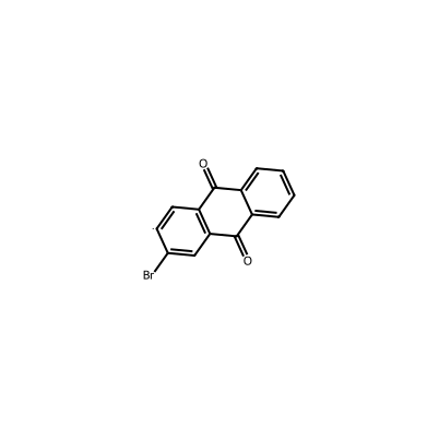 O=C1c2c[c]c(Br)cc2C(=O)c2ccccc21